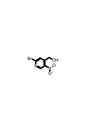 O=[N+]([O-])c1cnc(Br)cc1CO